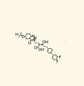 COc1ccc2nnn(CC[C@H](C(=O)O)[C@H](O)CCc3ccc(-c4ccc(F)c(F)c4)cc3)c(=O)c2c1